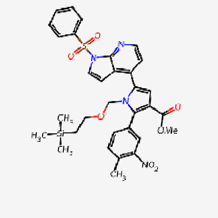 COC(=O)c1cc(-c2ccnc3c2ccn3S(=O)(=O)c2ccccc2)n(COCC[Si](C)(C)C)c1-c1ccc(C)c([N+](=O)[O-])c1